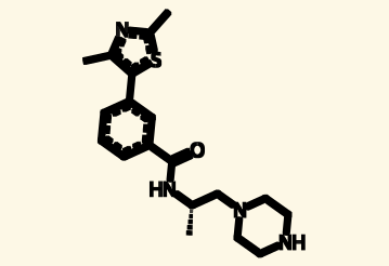 Cc1nc(C)c(-c2cccc(C(=O)N[C@@H](C)CN3CCNCC3)c2)s1